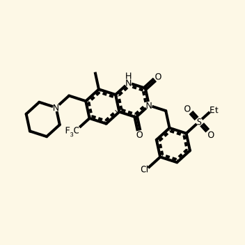 CCS(=O)(=O)c1ccc(Cl)cc1Cn1c(=O)[nH]c2c(C)c(CN3CCCCC3)c(C(F)(F)F)cc2c1=O